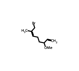 C=CC(CC/C=C(/C)CBr)OC